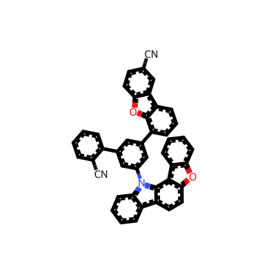 N#Cc1ccc2oc3c(-c4cc(-c5ccccc5C#N)cc(-n5c6ccccc6c6ccc7oc8ccccc8c7c65)c4)cccc3c2c1